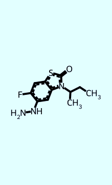 CCC(C)n1c(=O)sc2cc(F)c(NN)cc21